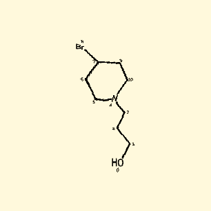 OCCCN1CCC(Br)CC1